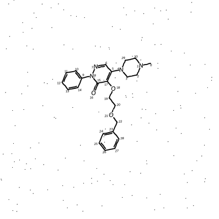 CN1CCN(c2cnn(-c3ccccc3)c(=O)c2OCCOCc2ccccc2)CC1